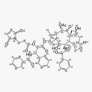 CC(=O)O[C@H]1C(=O)[C@@]2(C)C(C(OC(=O)c3ccccc3)[C@]3(O)CC(OC(=O)C(OC(=O)CCN4C(=O)C=CC4=O)C(NC(=O)c4ccccc4)c4ccccc4)C(C)=C1C3(C)C)[C@]1(OC(C)=O)CO[C@@H]1C[C@@H]2O